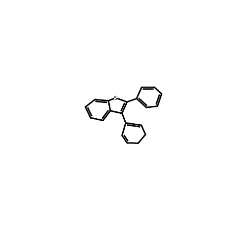 C1=CC(c2c(-c3ccccc3)sc3ccccc23)=CCC1